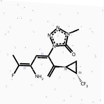 C=C(/C(=C\C(N)=C(/C)F)n1nnn(C)c1=O)[C@H]1C[C@@H]1C(F)(F)F